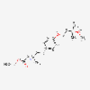 CCOC(=O)/C=C(\C)CCc1ccc(OCCC(C)(C)OC)cc1